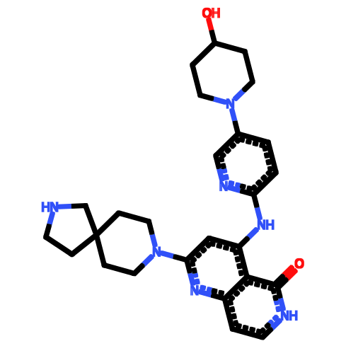 O=c1[nH]ccc2nc(N3CCC4(CCNC4)CC3)cc(Nc3ccc(N4CCC(O)CC4)cn3)c12